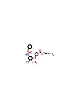 CCCCOC(=O)N1CCC(Oc2cc(NC(=O)Oc3ccccc3)cc(Cl)c2C)C1